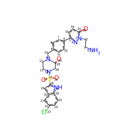 NCCn1nc(-c2ccc(CN3CCN(S(=O)(=O)c4cc5cc(Cl)ccc5[nH]4)CC3=O)cc2)ccc1=O